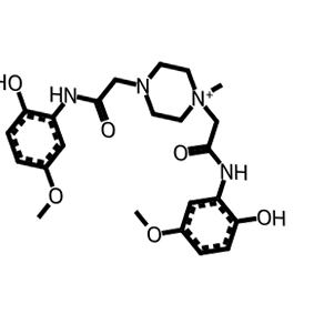 COc1ccc(O)c(NC(=O)CN2CC[N+](C)(CC(=O)Nc3cc(OC)ccc3O)CC2)c1